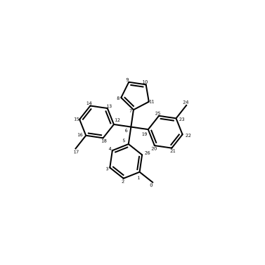 Cc1cccc(C(C2=CC=CC2)(c2cccc(C)c2)c2cccc(C)c2)c1